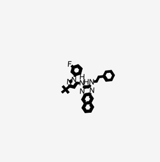 CC(C)(C)c1cc(Nc2nc3cc4ccccc4cc3nc2NCCC2=CCCCC2)n(-c2cccc(F)c2)n1